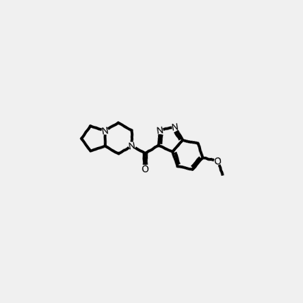 COC1=CC=C2C(=NN=C2C(=O)N2CCN3CCCC3C2)C1